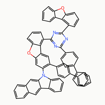 c1ccc(-c2ccc(-c3nc(-c4cccc5oc6ccccc6c45)nc(-c4cccc5oc6cc(-n7c8ccccc8c8cc9ccccc9cc87)c(-c7ccc(-c8ccccc8)cc7)cc6c45)n3)cc2)cc1